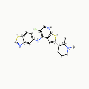 CCN1CCC[C@H](c2cc3c(Nc4ccc5scnc5c4)c(F)cnc3s2)[C@H]1C